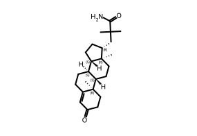 CC(C)(C[C@H]1CC[C@H]2[C@@H]3CCC4=CC(=O)CC[C@]4(C)[C@H]3CC[C@]12C)C(N)=O